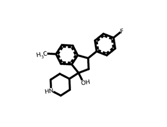 Cc1ccc2c(c1)C(O)(C1CCNCC1)CC2c1ccc(F)cc1